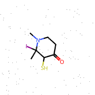 CN1CCC(=O)C(S)C1(C)I